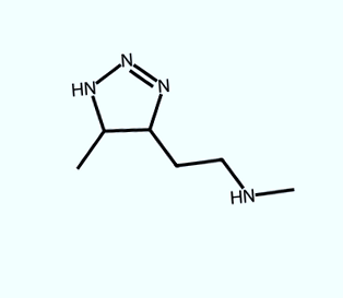 CNCCC1N=NNC1C